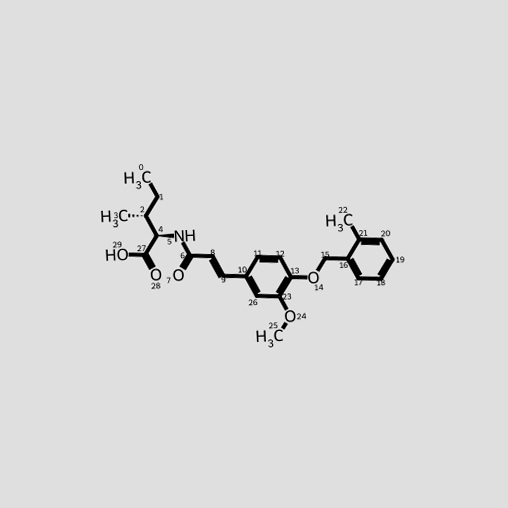 CC[C@@H](C)[C@@H](NC(=O)/C=C/c1ccc(OCc2ccccc2C)c(OC)c1)C(=O)O